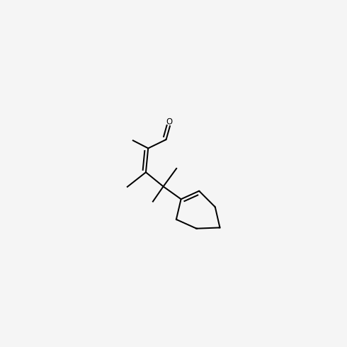 CC(C=O)=C(C)C(C)(C)C1=CCCCC1